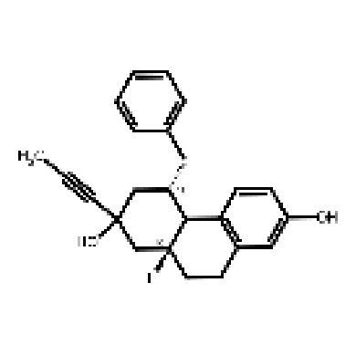 CC#CC1(O)C[C@H]2CCc3cc(O)ccc3C2[C@@H](Cc2ccccc2)C1